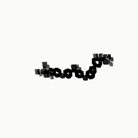 CC(c1ccc(Oc2ccc3c(c2)CN(C2=CC=CC(C(C)(C)C)=CC2)C3)cc1)c1ccc(Oc2ccc3c(c2)CN(C(C)(C)C)C3)cc1